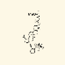 C=C(C)[C@@H]1CC[C@]2(C#Cc3ccccc3C(=O)NS(C)(=O)=O)CC[C@]3(C)C(CCC4[C@@]5(C)CC[C@H](OC(=O)CC(C)(C)C(=O)OC)C(C)(C)C5CC[C@]43C)C12